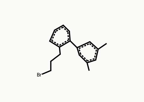 Cc1cc(C)cc(-c2ccccc2CCCBr)c1